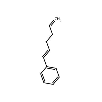 C=CC[CH]C=Cc1ccccc1